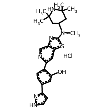 CN(c1nc2cnc(-c3ccc(-c4cc[nH]n4)cc3O)cc2s1)C1CC(C)(C)NC(C)(C)C1.Cl